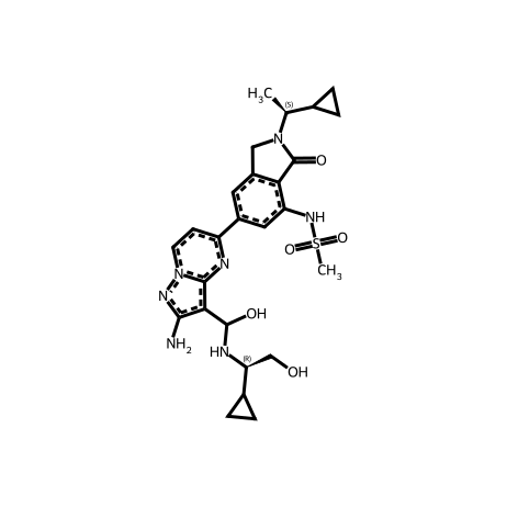 C[C@@H](C1CC1)N1Cc2cc(-c3ccn4nc(N)c(C(O)N[C@@H](CO)C5CC5)c4n3)cc(NS(C)(=O)=O)c2C1=O